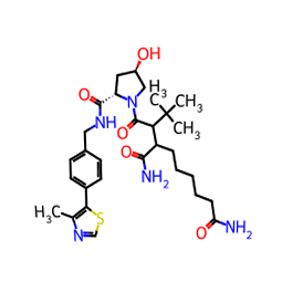 Cc1ncsc1-c1ccc(CNC(=O)[C@@H]2C[C@@H](O)CN2C(=O)C(C(CCCCCC(N)=O)C(N)=O)C(C)(C)C)cc1